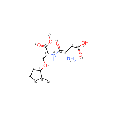 COC(=O)[C@H](COC1CCCC1C)NC(=O)[C@@H](N)CC(=O)O